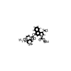 CN1CCN(C(=O)Oc2cc3c(c4ccccc24)[C@H](CCl)CN3C(=O)OC(C)(C)C)[C@H]2CSSC[C@H]21